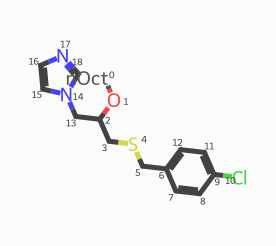 CCCCCCCCOC(CSCc1ccc(Cl)cc1)Cn1ccnc1